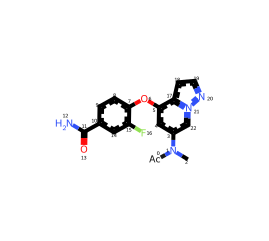 CC(=O)N(C)c1cc(Oc2ccc(C(N)=O)cc2F)c2ccnn2c1